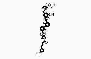 Cc1c(-c2nc3c(o2)CN(C(=O)CCCC2CC[C@@H](O)C2)C3)cccc1-c1cccc(-c2nc3cc(CN4CC[C@@](C)(C(=O)O)C4)cc(C#N)c3o2)c1C